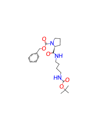 CC(C)(C)OC(=O)NCCCCNC(=O)[C@@H]1CCCN1C(=O)OCc1ccccc1